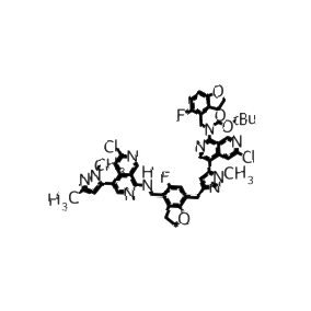 Cc1cc(-c2cnc(NCc3c(F)cc(Cc4cc(-c5cnc(N(Cc6c(F)ccc7c6CCO7)C(=O)OC(C)(C)C)c6cnc(Cl)cc56)n(C)n4)c4c3CCO4)c3cnc(Cl)cc23)n(C)n1